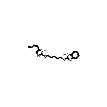 C=C/C=C\c1cnc(SCCCCCSc2nc3ccccc3[nH]2)[nH]1